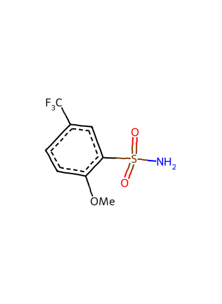 COc1ccc(C(F)(F)F)cc1S(N)(=O)=O